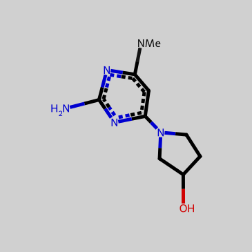 CNc1cc(N2CCC(O)C2)nc(N)n1